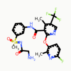 Cc1nc(F)ccc1Oc1ncc(C(F)(F)F)c(C)c1C(=O)Nc1cccc([S@@](C)(=O)=NC(=O)CN)c1